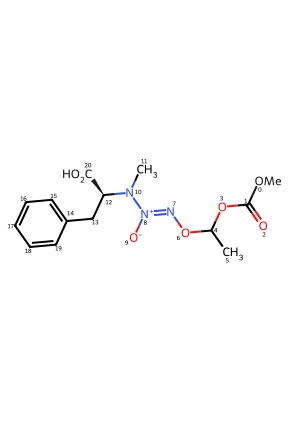 COC(=O)OC(C)ON=[N+]([O-])N(C)[C@@H](Cc1ccccc1)C(=O)O